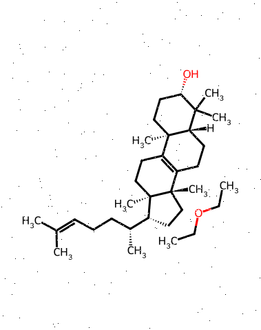 CC(C)=CCC[C@@H](C)[C@H]1CC[C@@]2(C)C3=C(CC[C@]12C)[C@@]1(C)CC[C@H](O)C(C)(C)[C@@H]1CC3.CCOCC